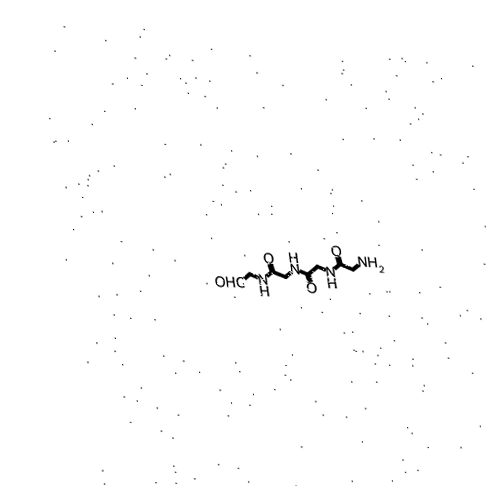 NCC(=O)NCC(=O)NCC(=O)NCC=O